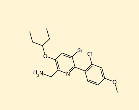 CCC(CC)Oc1cc(Br)c(-c2ccc(OC)cc2Cl)nc1CN